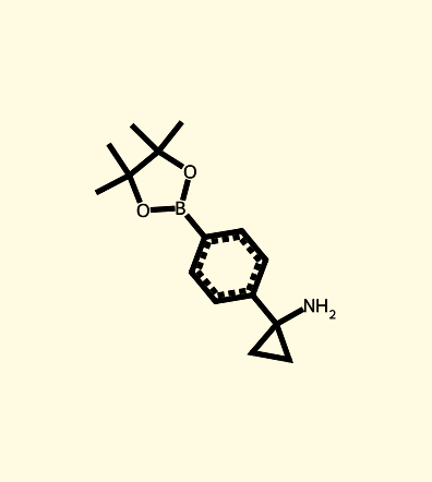 CC1(C)OB(c2ccc(C3(N)CC3)cc2)OC1(C)C